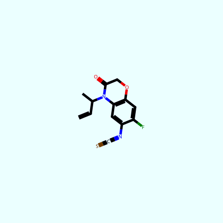 C=CC(C)N1C(=O)COc2cc(F)c(N=C=S)cc21